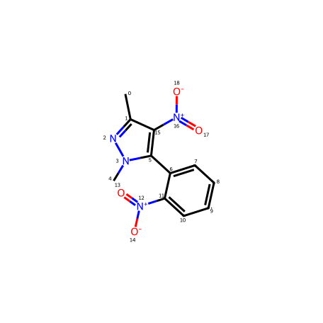 Cc1nn(C)c(-c2cc[c]cc2[N+](=O)[O-])c1[N+](=O)[O-]